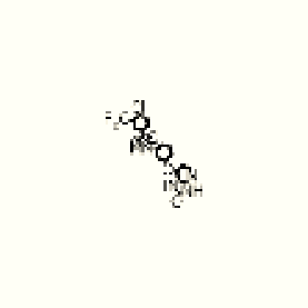 O=c1[nH]c2nccc(Oc3cccc(NS(=O)(=O)c4ccc(Cl)c(C(F)(F)F)c4)c3)c2[nH]1